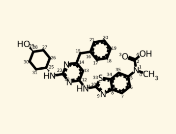 CN(C(=O)O)c1ccc2nc(Nc3cc(Cc4ccccc4)nc(N[C@H]4CC[C@H](O)CC4)n3)sc2c1